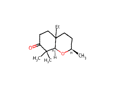 CCC12CCC(=O)C(C)(C)[C@@H]1O[C@H](C)CC2